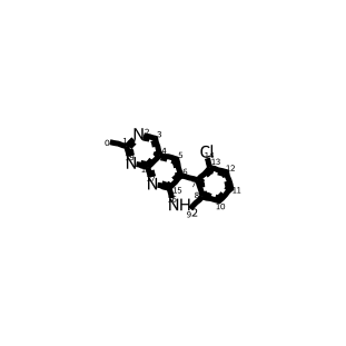 Cc1ncc2cc(-c3c(C)cccc3Cl)c(N)nc2n1